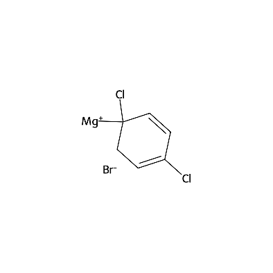 [Br-].[Mg+][C]1(Cl)C=CC(Cl)=CC1